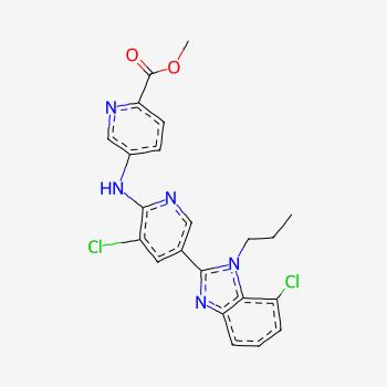 CCCn1c(-c2cnc(Nc3ccc(C(=O)OC)nc3)c(Cl)c2)nc2cccc(Cl)c21